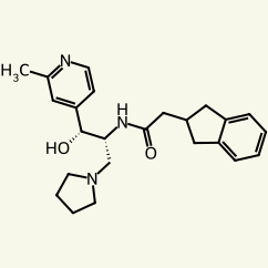 Cc1cc([C@@H](O)[C@@H](CN2CCCC2)NC(=O)CC2Cc3ccccc3C2)ccn1